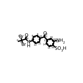 CC(Br)(Br)C(=O)Nc1ccc(C(=O)c2ccc(S(=O)(=O)O)c(N)c2)cc1